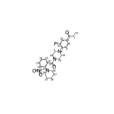 CCC(=O)c1ccc(N2CCN(C(=O)c3cccc([N+](=O)[O-])c3N3CCCCC3)CC2)c(F)c1